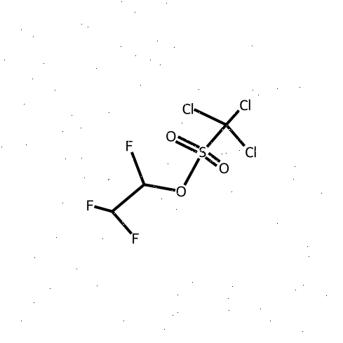 O=S(=O)(OC(F)C(F)F)C(Cl)(Cl)Cl